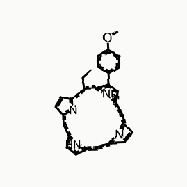 CCc1c2nc(cc3ccc(cc4nc(cc5cc(-c6ccc(OC)cc6)c1[nH]5)C=C4)[nH]3)C=C2